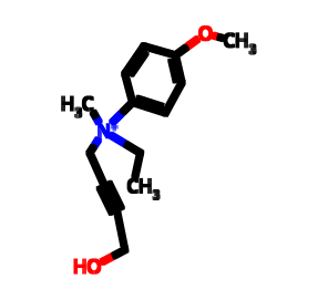 CC[N+](C)(CC#CCO)c1ccc(OC)cc1